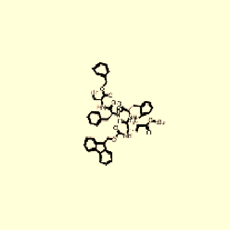 Cc1ccccc1C[C@H](NC(=O)[C@H](CCC(=O)OC(C)(C)C)NC(=O)OCC1c2ccccc2-c2ccccc21)C(=O)N[C@@H](Cc1ccccc1)C(=O)N[C@@H](CC(C)C)C(=O)OCc1ccccc1